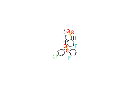 CC[C@H]1C[C@@H]2C[C@](c3cc(F)ccc3F)(S(=O)(=O)c3ccc(Cl)cc3)CC[C@@H]2CS1(=O)=O